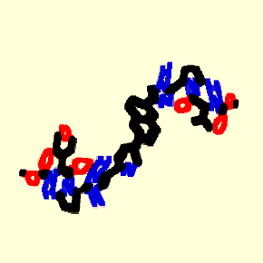 COC(=O)N[C@H](C(=O)N1CCCC1c1nc(-c2ccc3cc(-c4ccc(-c5cnc([C@@H]6CCCN6C(=O)[C@@H](NC(=O)OC)C6CCOCC6)[nH]5)nc4)ccc3c2)c[nH]1)C(C)C